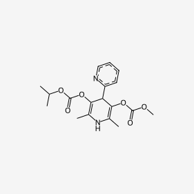 COC(=O)OC1=C(C)NC(C)=C(OC(=O)OC(C)C)C1c1ccccn1